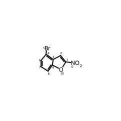 O=[N+]([O-])c1cc2c(Br)cccc2o1